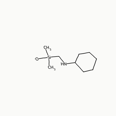 C[Si](C)([O])CNC1CCCCC1